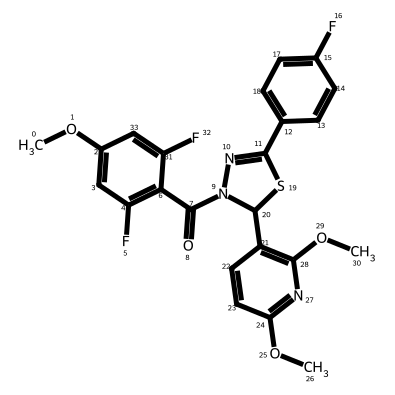 COc1cc(F)c(C(=O)N2N=C(c3ccc(F)cc3)SC2c2ccc(OC)nc2OC)c(F)c1